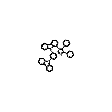 c1ccc(-c2nnn(-c3cccc4c5ccccc5n(-c5cccc(-n6c7ccccc7c7ccccc76)c5)c34)c2-c2ccccc2)cc1